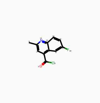 Cc1cc(C(=O)Cl)c2cc(F)ccc2n1